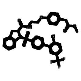 COC(=O)Cc1ccc(OCCNC(=O)C2Cc3ccccc3N2S(=O)(=O)c2ccc(-c3cc(C(F)(F)F)ccc3Cl)cc2)cc1